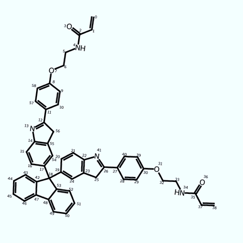 C=CC(=O)NCCOc1ccc(C2=Nc3ccc(C4(c5ccc6c(c5)CC(c5ccc(OCCNC(=O)C=C)cc5)=N6)c5ccccc5-c5ccccc54)cc3C2)cc1